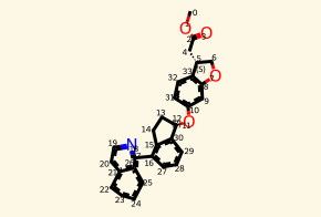 COC(=O)C[C@@H]1COc2cc(O[C@@H]3CCc4c(-c5nccc6ccccc56)cccc43)ccc21